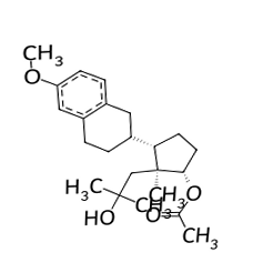 COc1ccc2c(c1)CCC([C@@H]1CC[C@H](OC(C)=O)[C@@]1(C)CC(C)(C)O)C2